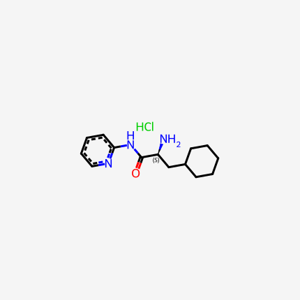 Cl.N[C@@H](CC1CCCCC1)C(=O)Nc1ccccn1